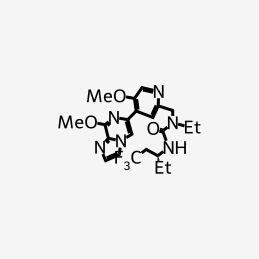 CC[C@H](CC(F)(F)F)NC(=O)N(CC)Cc1cc(-c2cn3ccnc3c(OC)n2)c(OC)cn1